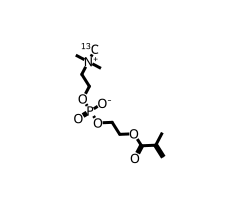 C=C(C)C(=O)OCCOP(=O)([O-])OCC[N+](C)(C)[13CH3]